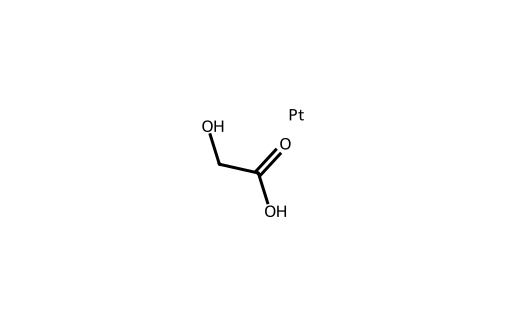 O=C(O)CO.[Pt]